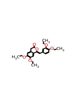 CCOc1ccc(/C=C2\OC(=O)Cc3cc(OCC)c(OCC)cc32)cc1OCC